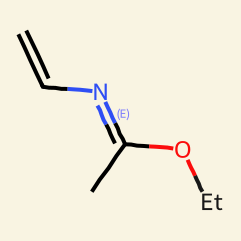 C=C/N=C(\C)OCC